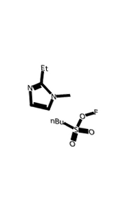 CCCCS(=O)(=O)OF.CCc1nccn1C